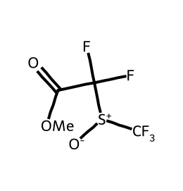 COC(=O)C(F)(F)[S+]([O-])C(F)(F)F